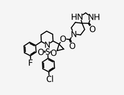 O=C(OC1(C2CCCC(c3cccc(F)c3)N2S(=O)(=O)c2ccc(Cl)cc2)CC1)N1CCC2(CC1)NCNC2=O